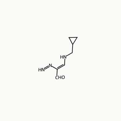 N=N/C(C=O)=C\NCC1CC1